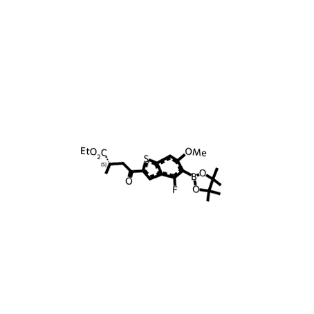 CCOC(=O)[C@@H](C)CC(=O)c1cc2c(F)c(B3OC(C)(C)C(C)(C)O3)c(OC)cc2s1